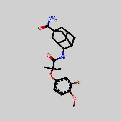 COc1ccc(OC(C)(C)C(=O)NC2C3CC4CC2CC(C(N)=O)(C4)C3)cc1Br